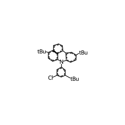 CC(C)(C)c1ccc(N(c2cc(Cl)cc(C(C)(C)C)c2)c2ccc(C(C)(C)C)cc2-c2ccccc2)cc1